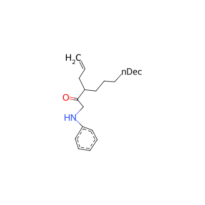 C=CCC(CCCCCCCCCCCCC)C(=O)CNc1ccccc1